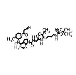 COC(=O)[C@H](CCCCNC(=O)OC(C)(C)C)NC(=O)CNC(=O)n1ccc2c(N(C)C3CN(C(=O)CC#N)CC[C@H]3C)ncnc21